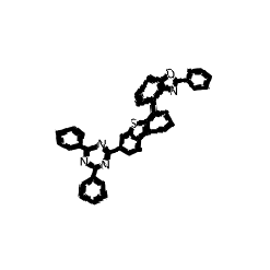 c1ccc(-c2nc(-c3ccccc3)nc(-c3ccc4c(c3)sc3c(-c5cccc6oc(-c7ccccc7)nc56)cccc34)n2)cc1